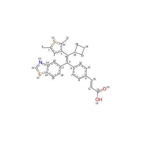 Cc1cc(C(=C(c2ccc(C=CC(=O)O)cc2)c2ccc3scnc3c2)C2CCC2)c(C)s1